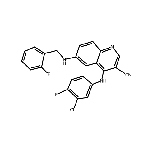 N#Cc1cnc2ccc(NCc3ccccc3F)cc2c1Nc1ccc(F)c(Cl)c1